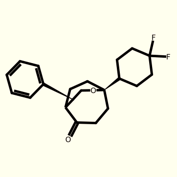 O=C1CC[C@@]2(C3CCC(F)(F)CC3)CCC1[C@H](c1ccccc1)CO2